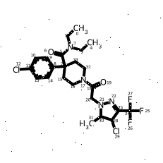 CCN(CC)C(=O)C1(c2ccc(Cl)cc2)CCN(C(=O)CN2N=C(C(F)(F)F)C(Cl)C2C)CC1